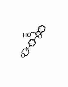 OCc1c(-c2ccc(N3CCOCC3)cc2)oc2ccccc12